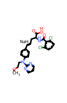 COCCN(c1ccc(/C=C/CC(NC(=O)c2c(Cl)cccc2Cl)C(=O)O)cc1)c1ncccn1.[NaH]